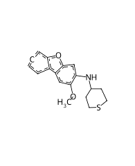 COc1cc2c(cc1NC1CCSCC1)oc1ccccc12